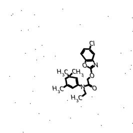 CCN(C(=O)COc1nc2cc(Cl)ccc2o1)C1=CC(C)(C)CC(C)=C1